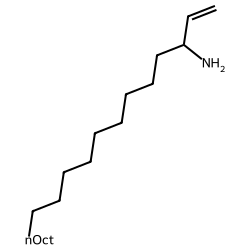 C=CC(N)CCCCCCCCCCCCCCCCC